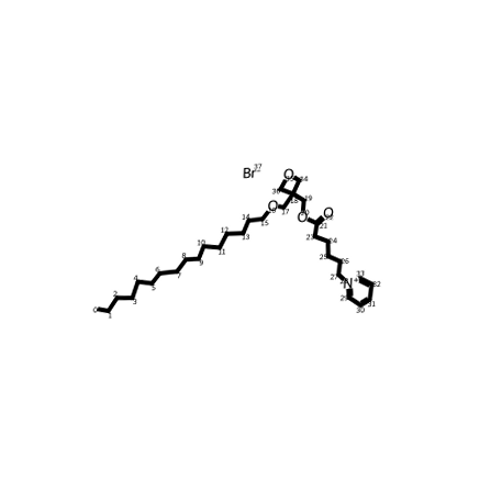 CCCCCCCCCCCCCCCCOCC1(COC(=O)CCCCC[n+]2ccccc2)COC1.[Br-]